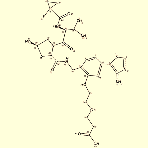 Cc1ncsc1-c1ccc(CNC(=O)[C@@H]2C[C@@H](O)CN2C(=O)[C@@H](NC(=O)C2(F)CC2)C(C)C)c(OCCOCCC(=O)O)c1